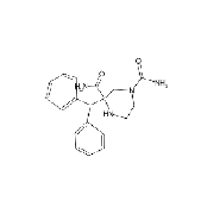 NC(=O)N1CCNC(C(N)=O)(C(c2ccccc2)c2ccccc2)C1